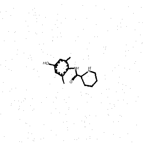 Cc1cc(O)cc(C)c1NC(=O)C1CCCCN1